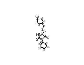 O=C1C(CSCc2ccc(Cl)cc2)NC(=S)N1c1ccccc1